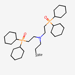 CSCCN(CCP(=O)(C1CCCCC1)C1CCCCC1)CCP(=O)(C1CCCCC1)C1CCCCC1